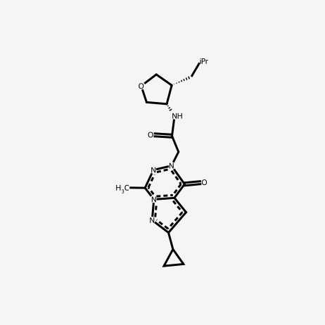 Cc1nn(CC(=O)N[C@@H]2COC[C@@H]2CC(C)C)c(=O)c2cc(C3CC3)nn12